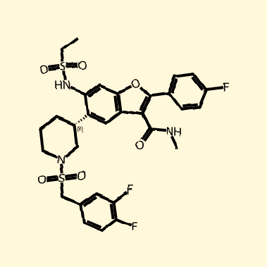 CCS(=O)(=O)Nc1cc2oc(-c3ccc(F)cc3)c(C(=O)NC)c2cc1[C@H]1CCCN(S(=O)(=O)Cc2ccc(F)c(F)c2)C1